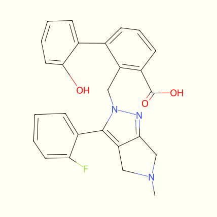 CN1Cc2nn(Cc3c(C(=O)O)cccc3-c3ccccc3O)c(-c3ccccc3F)c2C1